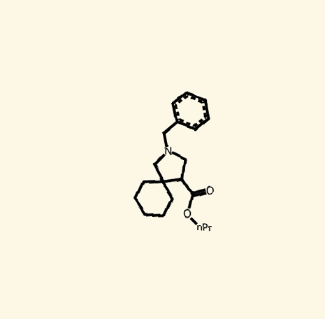 CCCOC(=O)C1CN(Cc2ccccc2)CC12CCCCC2